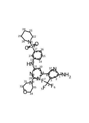 Nc1cc(C(F)(F)F)c(-c2cc(Nc3cccc(S(=O)(=O)N4CCCCC4)c3)nc(N3CCOCC3)n2)cn1